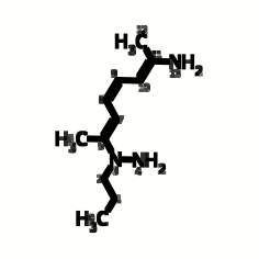 CCCN(N)/C(C)=C/C=C\C=C(/C)N